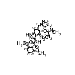 C=CC(=O)N(C)Cc1cnn(Cc2cc(OC)c3c(NS(=O)(=O)c4c(OC)cccc4OC)n[nH]c3c2)c1